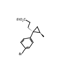 CCOC(=O)CC[C@]1(c2ccc(Br)cc2)C[C@H]1C